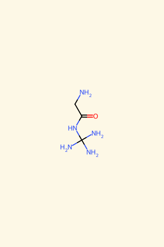 NCC(=O)NC(N)(N)N